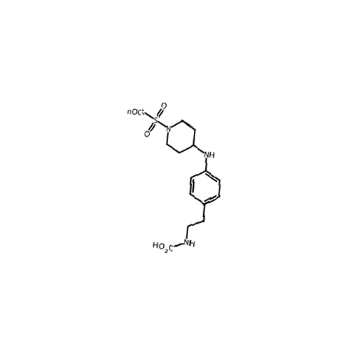 CCCCCCCCS(=O)(=O)N1CCC(Nc2ccc(CCNC(=O)O)cc2)CC1